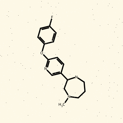 CN1CCC[N]C(c2ccc(Oc3ccc(F)cc3)nc2)C1